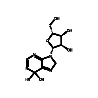 OC[C@H]1O[C@@H](N2CN=C3C2=NC=NC3(O)S)[C@H](O)[C@@H]1O